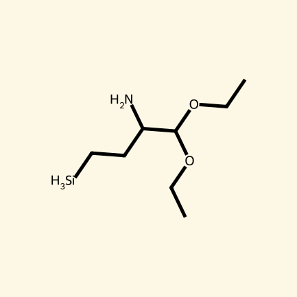 CCOC(OCC)C(N)CC[SiH3]